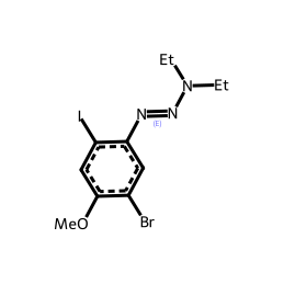 CCN(CC)/N=N/c1cc(Br)c(OC)cc1I